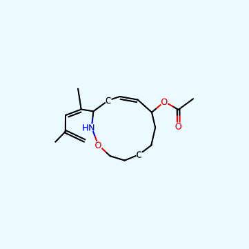 C=C(C)/C=C(/C)C1CC=CC(OC(C)=O)CCCCCON1